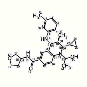 Cc1cccc(N[C@H]2c3cc(C(=O)N[C@H]4CCOC4)ccc3N(C(C)O)[C@@H](C3CC3)[C@@H]2C)n1